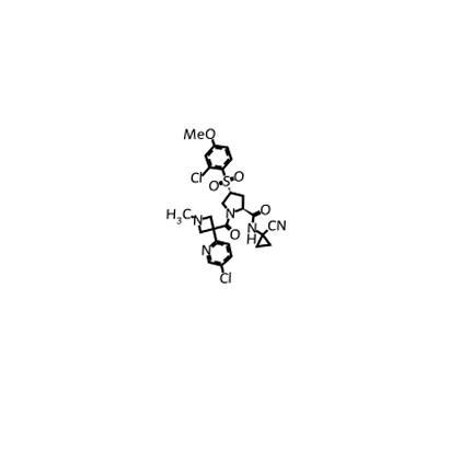 COc1ccc(S(=O)(=O)[C@@H]2C[C@@H](C(=O)NC3(C#N)CC3)N(C(=O)C3(c4ccc(Cl)cn4)CN(C)C3)C2)c(Cl)c1